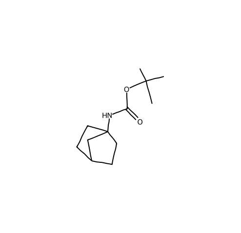 CC(C)(C)OC(=O)NC12CCC(CC1)C2